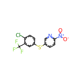 O=[N+]([O-])c1ccc(Sc2ccc(Cl)c(C(F)(F)F)c2)cn1